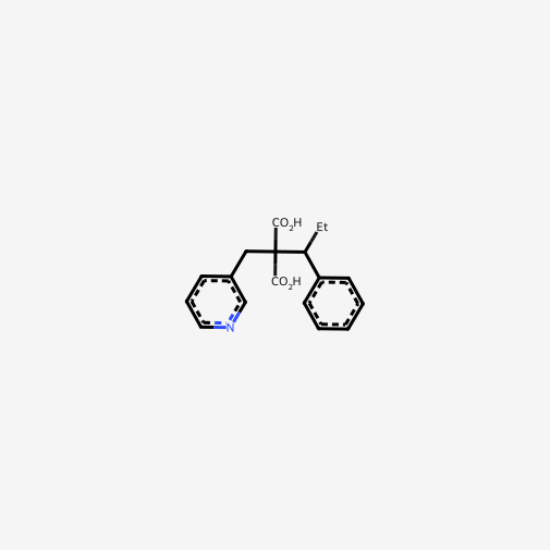 CCC(c1ccccc1)C(Cc1cccnc1)(C(=O)O)C(=O)O